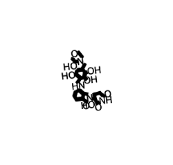 O=C1CCC(O)(N2Cc3c(NCc4c(O)c(O)c(CN5CCOCC5)c(O)c4O)cccc3C2=O)C(=O)N1